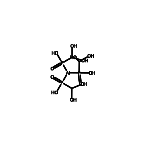 O=[P](O)(C(O)O)[Al]([P](=O)(O)C(O)O)[P](=O)(O)C(O)O